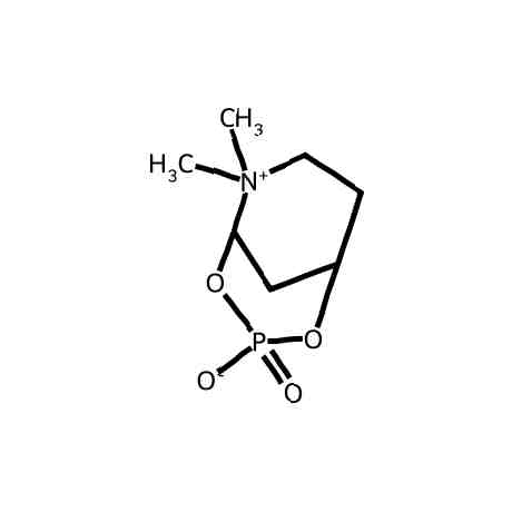 C[N+]1(C)CCC2CC1OP(=O)([O-])O2